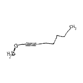 BOC#CCCCC